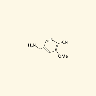 COc1cc(CN)cnc1C#N